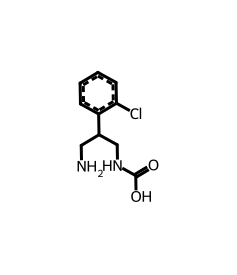 NCC(CNC(=O)O)c1ccccc1Cl